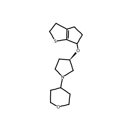 C1CC(N2CC[C@@H](OC3CCC4=C3SCC4)C2)CCO1